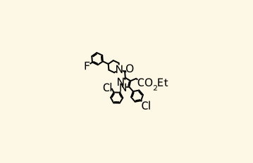 CCOC(=O)Cc1c(C(=O)N2CCC(c3cccc(F)c3)CC2)nn(-c2ccccc2Cl)c1-c1ccc(Cl)cc1